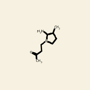 CC(=O)CCN1CCC(C)C1N